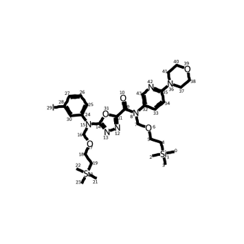 C[Si](C)(C)CCOCN(C(=O)c1nnc(N(COCC[Si](C)(C)C)c2cccc(I)c2)o1)c1ccc(N2CCOCC2)nc1